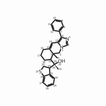 CC12Cn3cnc(-c4ccccc4)c3C=C1CCCC2[C@](C)(O)C1CSc2ccccc21